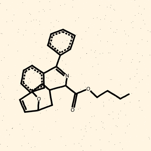 CCCCOC(=O)C(N=C(c1ccccc1)c1ccccc1)C1CC2C=CC(C1)O2